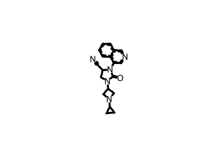 N#CC1CN(C2CN(C3CC3)C2)C(=O)N1c1cncc2ccccc12